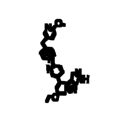 CCOc1cc(-c2ccc(N3CC4CCC3CN4Cc3ccc(OC)nc3)nc2)c2c3cn[nH]c3nn2c1